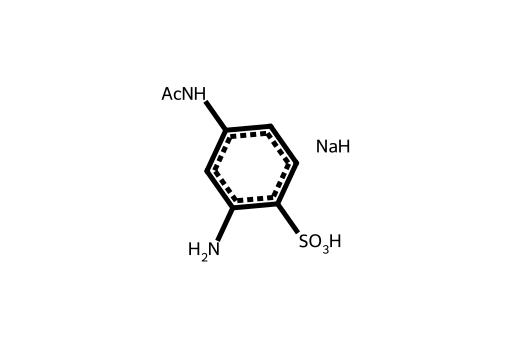 CC(=O)Nc1ccc(S(=O)(=O)O)c(N)c1.[NaH]